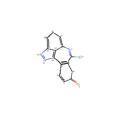 O=C1C=Cc2c(c(Cl)nc3c4c(nnc2=4)=CCC=3)C1